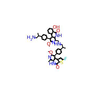 COc1nc(C)c2[nH]c(=O)c3sc(F)cc3c2c1-c1ccc(C(C)CNCc2nc(OC)c(-c3ccc(C(C)CN)cc3)c3c2[nH]c(=O)c2c(O)cccc23)cc1